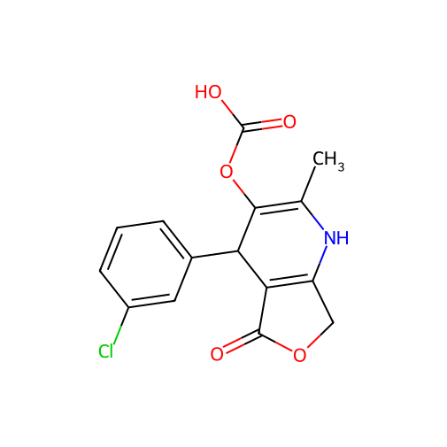 CC1=C(OC(=O)O)C(c2cccc(Cl)c2)C2=C(COC2=O)N1